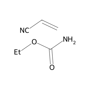 C=CC#N.CCOC(N)=O